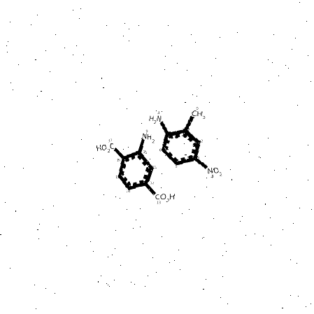 Cc1cc([N+](=O)[O-])ccc1N.Nc1cc(C(=O)O)ccc1C(=O)O